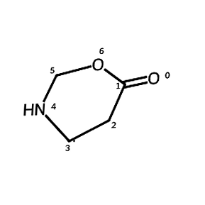 O=C1C[CH]NCO1